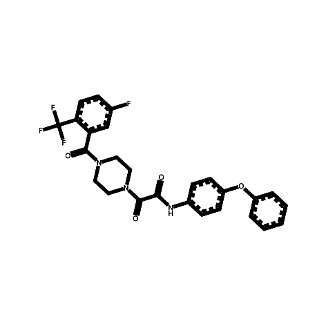 O=C(Nc1ccc(Oc2ccccc2)cc1)C(=O)N1CCN(C(=O)c2cc(F)ccc2C(F)(F)F)CC1